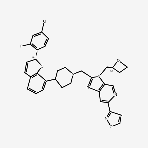 Fc1cc(Cl)ccc1[C@H]1C=Cc2cccc(C3CCN(Cc4nc5cc(-c6ncon6)ncc5n4C[C@@H]4CCO4)CC3)c2O1